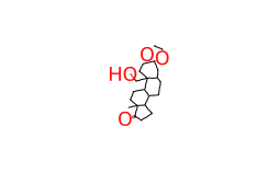 CC12CCC3C(CCC4CC5(CCC43CO)OCCO5)C1CCC2=O